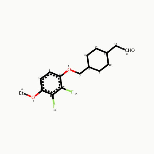 CCOc1ccc(OCC2CCC(CC=O)CC2)c(F)c1F